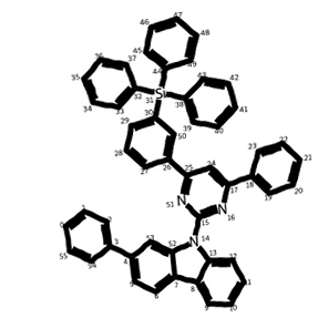 c1ccc(-c2ccc3c4ccccc4n(-c4nc(-c5ccccc5)cc(-c5cccc([Si](c6ccccc6)(c6ccccc6)c6ccccc6)c5)n4)c3c2)cc1